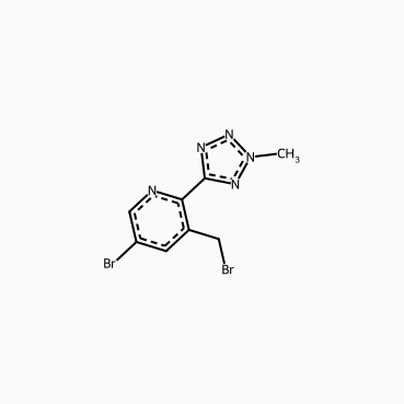 Cn1nnc(-c2ncc(Br)cc2CBr)n1